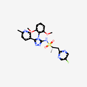 COc1cccc(OC)c1-n1c(NS(=O)(=O)[C@@H](C)Cc2ncc(F)cn2)nnc1-c1ccc(C)nc1